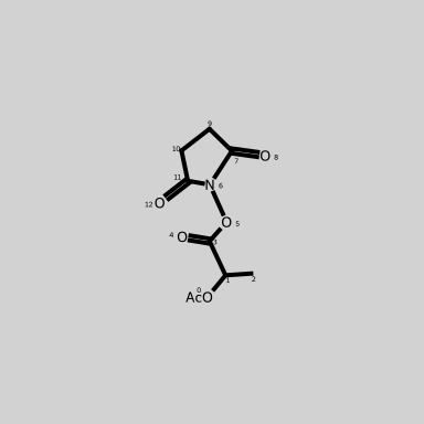 CC(=O)OC(C)C(=O)ON1C(=O)CCC1=O